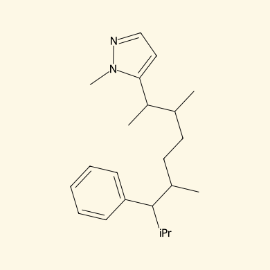 CC(C)C(c1ccccc1)C(C)CCC(C)C(C)c1ccnn1C